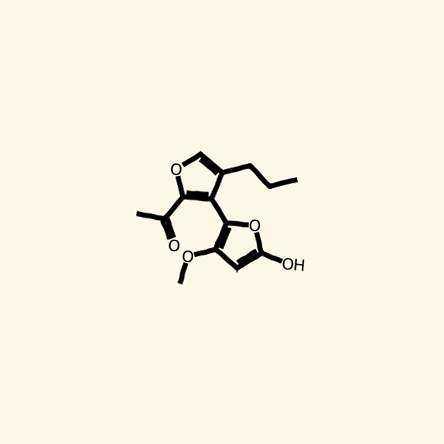 CCCc1coc(C(C)=O)c1-c1oc(O)[c]c1OC